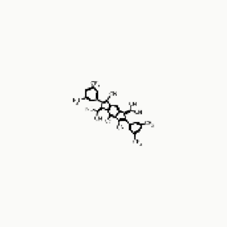 N#CC(C#N)=C1C(c2cc(C(F)(F)F)cc(C(F)(F)F)c2)=C(C#N)c2c1cc1c(c2C#N)C(=C(C#N)C#N)C(c2cc(C(F)(F)F)cc(C(F)(F)F)c2)=C1C#N